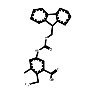 Cc1cc(NC(=O)OCC2c3ccccc3-c3ccccc32)cc(C(=O)O)c1CN